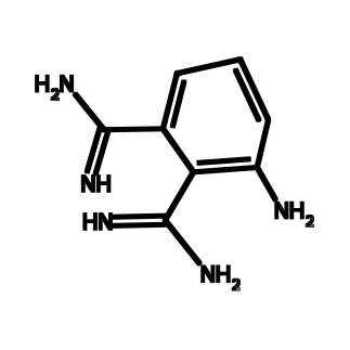 N=C(N)c1cccc(N)c1C(=N)N